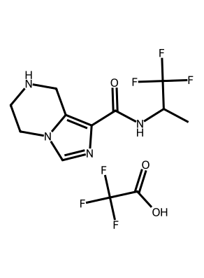 CC(NC(=O)c1ncn2c1CNCC2)C(F)(F)F.O=C(O)C(F)(F)F